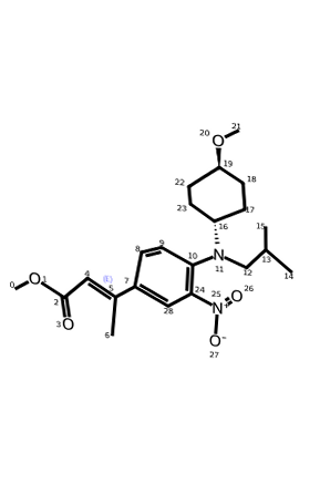 COC(=O)/C=C(\C)c1ccc(N(CC(C)C)[C@H]2CC[C@H](OC)CC2)c([N+](=O)[O-])c1